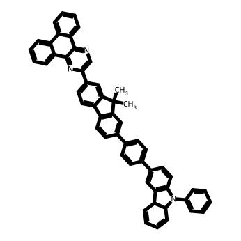 CC1(C)c2cc(-c3ccc(-c4ccc5c(c4)C4C=CC=CC4N5c4ccccc4)cc3)ccc2-c2ccc(-c3cnc4c5ccccc5c5ccccc5c4n3)cc21